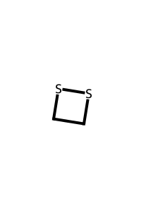 C1CSS1